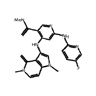 C=C(NC)c1cnc(Nc2ccc(F)cn2)cc1Nc1cn(C)c2c1C(=C)N(C)C=C2